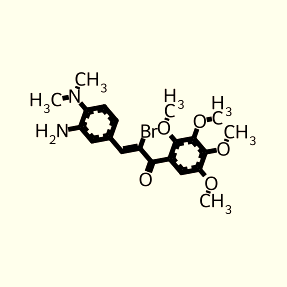 COc1cc(C(=O)C(Br)=Cc2ccc(N(C)C)c(N)c2)c(OC)c(OC)c1OC